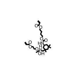 C=CC(=O)OCCCCOC(=O)NC1CC(C)(C)CC(C)(CNC(C)(O)OCCOC(=O)C=C)C1